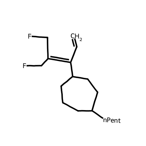 C=CC(=C(CF)CF)C1CCCC(CCCCC)CC1